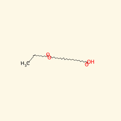 CCCCCC/C=C\CCCCCCCC(=O)OCCCCCCCCCCCCCCCCCCCCCCCC(=O)O